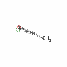 CCC=CCC=CCC=CCCCCCCCCCC(=O)Cl